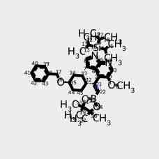 COc1cnc2c(ccn2[Si](C(C)C)(C(C)C)C(C)C)c1/C(=C/B1OC(C)(C)C(C)(C)O1)[C@H]1CC[C@H](OCc2ccccc2)CC1